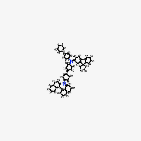 c1ccc(-c2ccc(N(c3ccc(-c4ccc(N(c5ccc6ccccc6c5)c5cccc6ccccc56)cc4)cc3)c3ccc4c(c3)C3(CCCC3)c3ccccc3-4)cc2)cc1